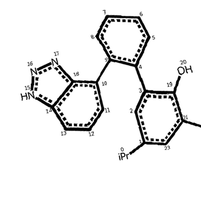 CC(C)c1cc(-c2ccccc2-c2cccc3[nH]nnc23)c(O)c(C(C)C)c1